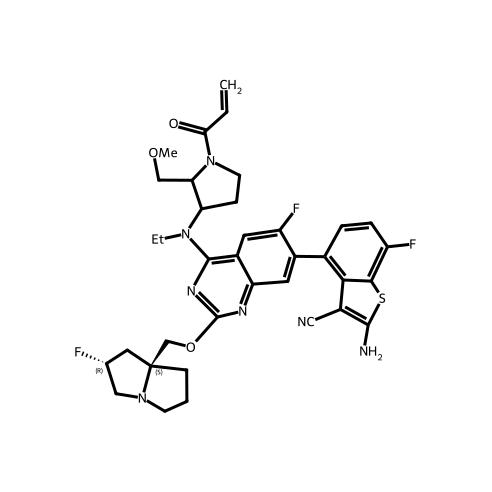 C=CC(=O)N1CCC(N(CC)c2nc(OC[C@@]34CCCN3C[C@H](F)C4)nc3cc(-c4ccc(F)c5sc(N)c(C#N)c45)c(F)cc23)C1COC